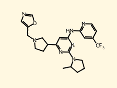 CC1CCCN1c1nc(Nc2cc(C(F)(F)F)ccn2)cc(C2CCN(Cc3cnco3)C2)n1